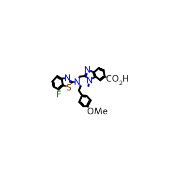 COc1ccc(CCN(Cc2nc3ccc(C(=O)O)cc3n2C)c2nc3cccc(F)c3s2)cc1